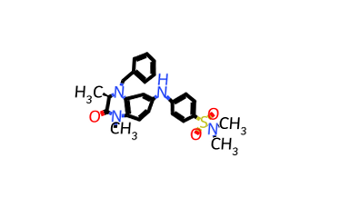 C[C@@H]1C(=O)N(C)c2ccc(Nc3ccc(S(=O)(=O)N(C)C)cc3)cc2N1Cc1ccccc1